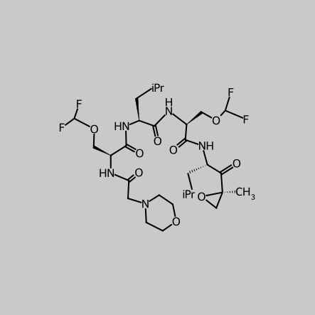 CC(C)C[C@H](NC(=O)[C@H](COC(F)F)NC(=O)CN1CCOCC1)C(=O)N[C@@H](COC(F)F)C(=O)N[C@@H](CC(C)C)C(=O)[C@@]1(C)CO1